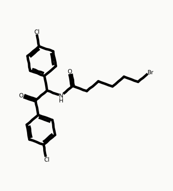 O=C(CCCCCBr)NC(C(=O)c1ccc(Cl)cc1)c1ccc(Cl)cc1